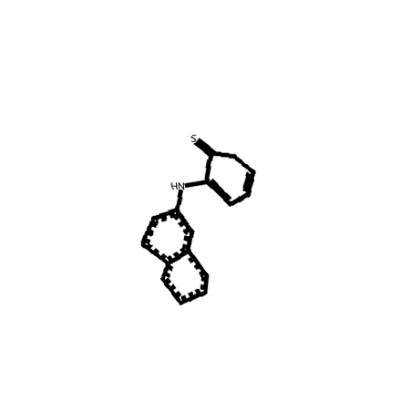 S=C1CC=CC=C1Nc1ccc2ccccc2c1